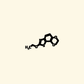 CCOc1nc2ccc3c(c2s1)OCCO3